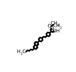 C=C(C)C(=O)OCC(CO)C1CCC(CCC2CCC(c3ccc4cc(CCCCCC)ccc4c3)CC2)CC1